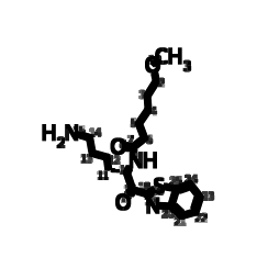 COCCCCCC(=O)N[C@@H](CCCCN)C(=O)c1nc2ccccc2s1